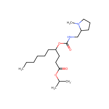 [CH2]C([CH2])OC(=O)CCC(CCCCCC)OC(=O)NCC1CCCN1C